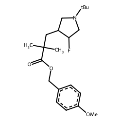 COc1ccc(COC(=O)C(C)(C)CC2CN(C(C)(C)C)CC2F)cc1